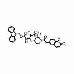 CNC(=O)[C@@H](CC1CCN(C(=O)Cc2ccc3[nH]c(=O)ccc3c2)CC1)NC(=O)OCC1c2ccccc2-c2ccccc21